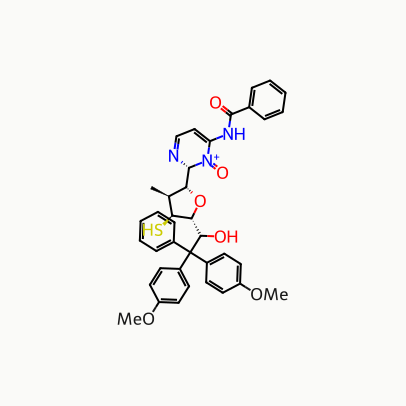 COc1ccc(C(c2ccccc2)(c2ccc(OC)cc2)C(O)[C@H]2O[C@@H]([C@@H]3N=CC=C(NC(=O)c4ccccc4)[N+]3=O)[C@H](C)[C@@H]2S)cc1